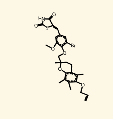 C=CCOc1c(C)c(C)c2c(c1C)CCC(C)(COc1c(Br)cc(/C=C3\SC(=O)NC3=O)cc1OC)O2